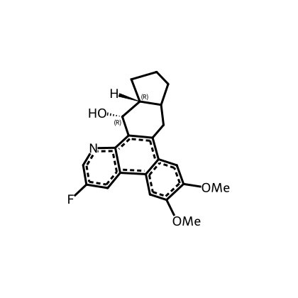 COc1cc2c3c(c4ncc(F)cc4c2cc1OC)[C@H](O)[C@@H]1CCCC1C3